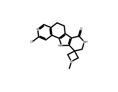 CN1CC2(CNC(=O)c3c2[nH]c2c3CCc3cnc(Cl)cc3-2)C1